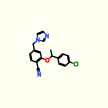 CC(Oc1cc(Cn2ccnc2)ccc1C#N)c1ccc(Cl)cc1